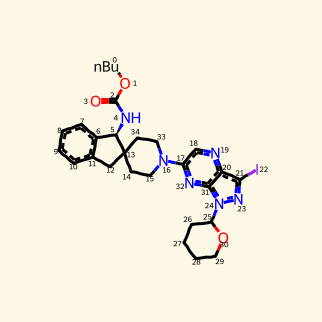 CCCCOC(=O)N[C@@H]1c2ccccc2CC12CCN(c1cnc3c(I)nn(C4CCCCO4)c3n1)CC2